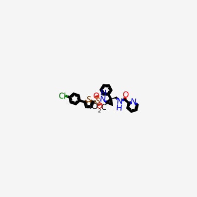 O=C(NC[C@@]1(c2ccccc2)CC1(NS(=O)(=O)c1ccc(-c2ccc(Cl)cc2)s1)C(=O)O)c1ccccn1